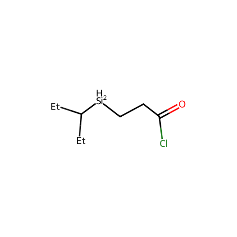 CCC(CC)[SiH2]CCC(=O)Cl